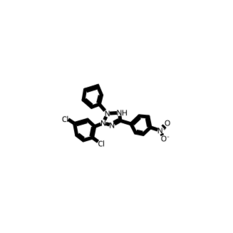 O=[N+]([O-])c1ccc(C2=NN(c3cc(Cl)ccc3Cl)N(c3ccccc3)N2)cc1